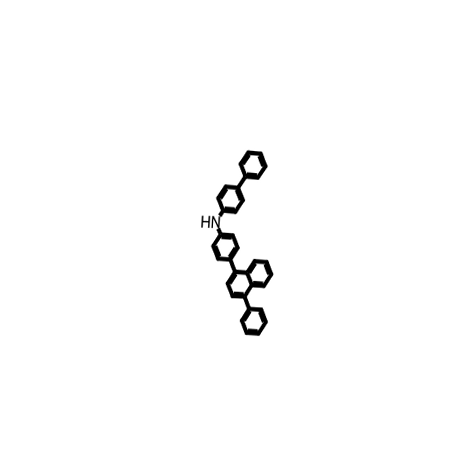 c1ccc(-c2ccc(Nc3ccc(-c4ccc(-c5ccccc5)c5ccccc45)cc3)cc2)cc1